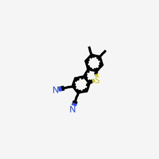 Cc1cc2sc3cc(C#N)c(C#N)cc3c2cc1C